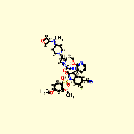 CCOc1ncccc1[C@]1(NC(=O)N2CC(N3CCC(N(C)C4COC4)CC3)C2)C(=O)N(S(=O)(=O)c2ccc(OC)cc2OC)c2cc(F)c(C#N)cc21